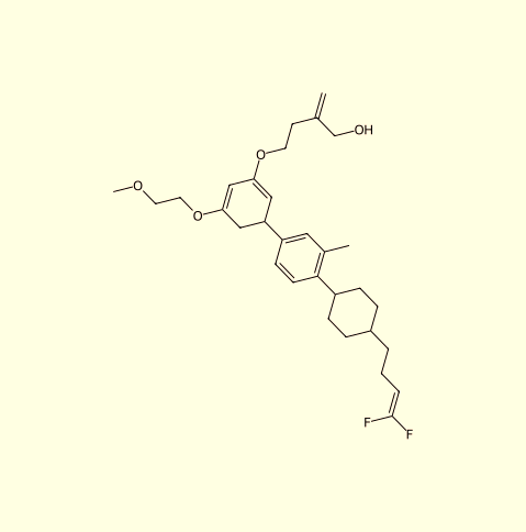 C=C(CO)CCOC1=CC(c2ccc(C3CCC(CCC=C(F)F)CC3)c(C)c2)CC(OCCOC)=C1